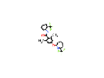 Cc1cc(OC2=CCC=CC(C(F)(F)F)=N2)cc(C)c1C(=O)Nc1ccccc1C(F)(F)F